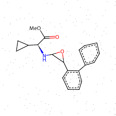 COC(=O)[C@@H](NC1OC1c1ccccc1-c1ccccc1)C1CC1